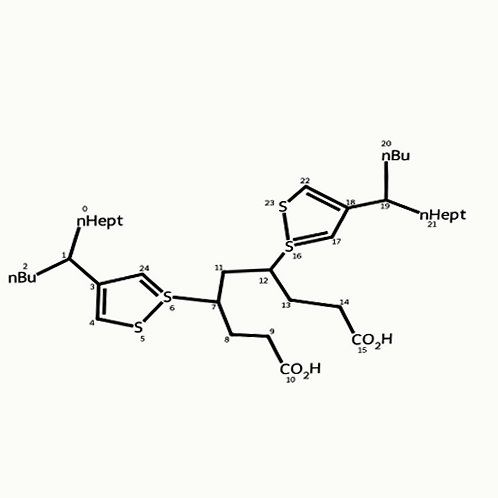 CCCCCCCC(CCCC)C1=CSS(C(CCC(=O)O)CC(CCC(=O)O)S2=CC(C(CCCC)CCCCCCC)=CS2)=C1